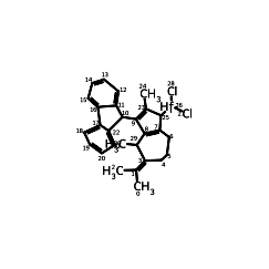 CC(C)=C1CCCC2=C(C(C3c4ccccc4-c4ccccc43)=C(C)[CH]2[Hf]([Cl])[Cl])C1C